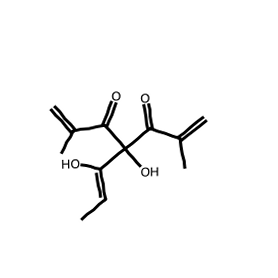 C=C(C)C(=O)C(O)(C(=O)C(=C)C)C(O)=CC